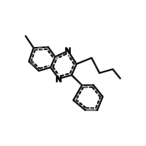 CCCCc1nc2cc(C)ccc2nc1-c1ccccc1